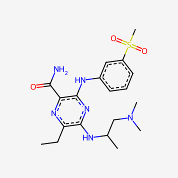 CCc1nc(C(N)=O)c(Nc2cccc(S(C)(=O)=O)c2)nc1NC(C)CN(C)C